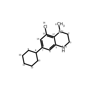 CN1CCNc2cc(C3CCCCC3)cc(Cl)c21